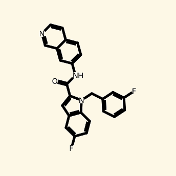 O=C(Nc1ccc2ccncc2c1)c1cc2cc(F)ccc2n1Cc1cccc(F)c1